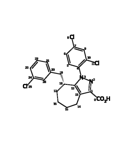 O=C(O)c1nn(-c2ccc(Cl)cc2Cl)c2c1CCCC[C@@H]2Cc1cccc(Cl)c1